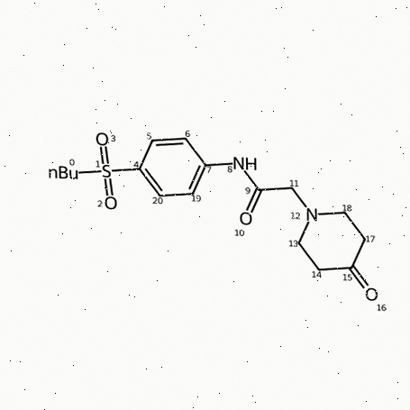 CCCCS(=O)(=O)c1ccc(NC(=O)CN2CCC(=O)CC2)cc1